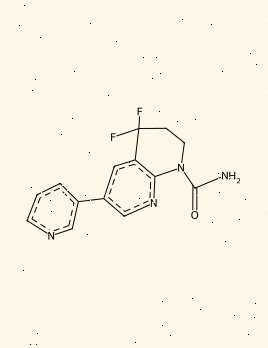 NC(=O)N1CCC(F)(F)c2cc(-c3cccnc3)cnc21